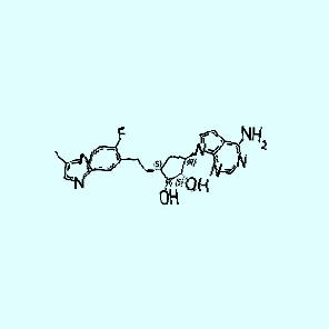 Cc1cnc2cc(CC[C@H]3C[C@@H](n4ccc5c(N)ncnc54)[C@H](O)[C@@H]3O)c(F)cn12